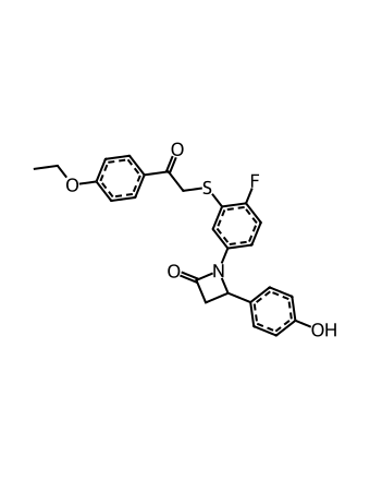 CCOc1ccc(C(=O)CSc2cc(N3C(=O)CC3c3ccc(O)cc3)ccc2F)cc1